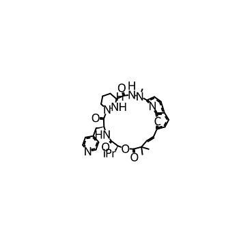 CC(C)[C@@H]1OC(=O)C(C)(C)/C=C/c2ccc3ccc(nc3c2)N(C)NC(=O)[C@@H]2CCCN(N2)C(=O)[C@H](Cc2ccncc2)NC1=O